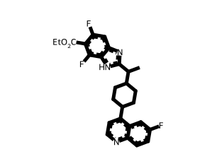 CCOC(=O)c1c(F)cc2nc(C(C)C3CCC(c4ccnc5ccc(F)cc45)CC3)[nH]c2c1F